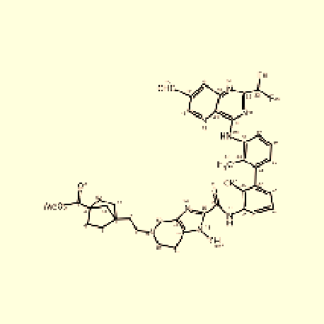 COC(=O)C12CCC(CCN3CCc4c(nc(C(=O)Nc5cccc(-c6cccc(Nc7nc(C(F)F)nc8cc(C=O)cnc78)c6C)c5Cl)n4C)C3)(CC1)C2